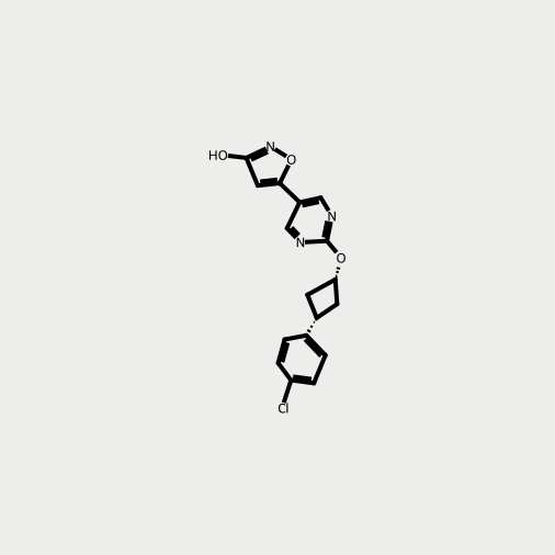 Oc1cc(-c2cnc(O[C@H]3C[C@@H](c4ccc(Cl)cc4)C3)nc2)on1